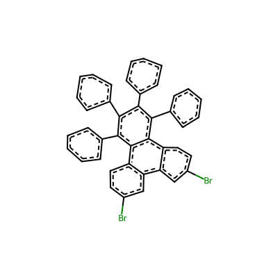 Brc1ccc2c(c1)c1cc(Br)ccc1c1c(-c3ccccc3)c(-c3ccccc3)c(-c3ccccc3)c(-c3ccccc3)c21